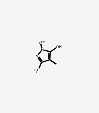 CCCn1nc(C(F)(F)F)c(C)c1O